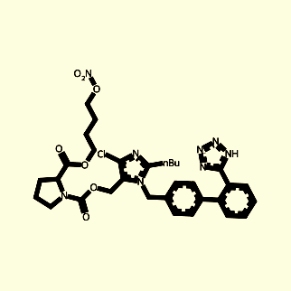 CCCCc1nc(Cl)c(COC(=O)N2CCCC2C(=O)OCCCCO[N+](=O)[O-])n1Cc1ccc(-c2ccccc2-c2nnn[nH]2)cc1